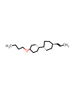 C/C=C/[C@H]1CC[C@H]([C@H]2CC[C@H](OCCCC)CC2)CC1